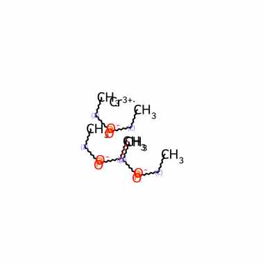 CCCCCCCC/C=C\CCCCCCCCP(=O)([O-])CCCCCCCC/C=C\CCCCCCCC.CCCCCCCC/C=C\CCCCCCCCP(=O)([O-])CCCCCCCC/C=C\CCCCCCCC.CCCCCCCC/C=C\CCCCCCCCP(=O)([O-])CCCCCCCC/C=C\CCCCCCCC.[Cr+3]